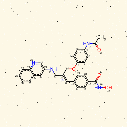 CC(=O)Nc1ccc(OC/C(=C\c2ccc(C(=O)NO)cc2)CNc2cnc3ccccc3c2)cc1